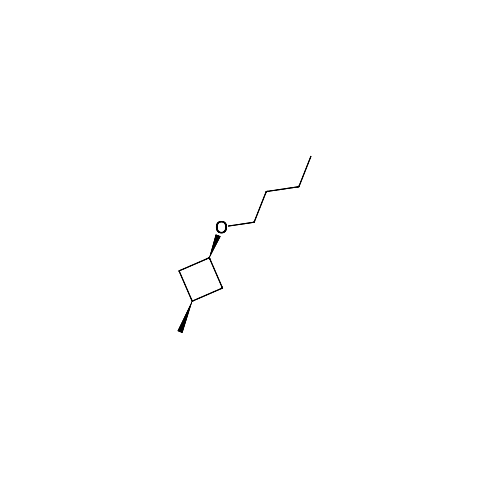 CCCCO[C@H]1C[C@@H](C)C1